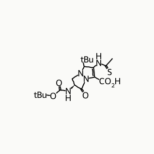 CC(=S)NC1=C(C(=O)O)N2C(=O)[C@@H](NC(=O)OC(C)(C)C)CN2C1C(C)(C)C